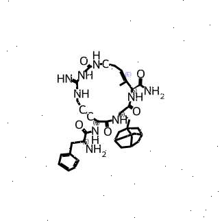 C/C1=C\CCNC(=O)NC(=N)NCCC[C@@H](NC(=O)[C@@H](N)Cc2ccccc2)C(=O)N[C@@H](CC23CC4CC(CC(C4)C2)C3)C(=O)N[C@@H]1C(N)=O